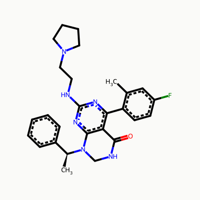 Cc1cc(F)ccc1-c1nc(NCCN2CCCC2)nc2c1C(=O)NCN2[C@@H](C)c1ccccc1